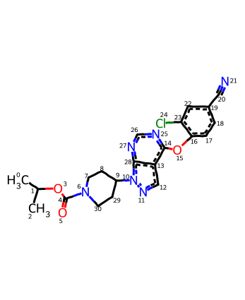 CC(C)OC(=O)N1CCC(n2ncc3c(Oc4ccc(C#N)cc4Cl)ncnc32)CC1